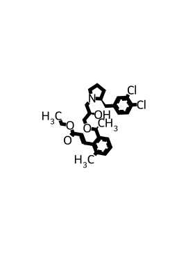 CCOC(=O)/C=C/c1c(C)cccc1[C@@H](C)OC[C@H](O)CN1CCC[C@H]1Cc1ccc(Cl)c(Cl)c1